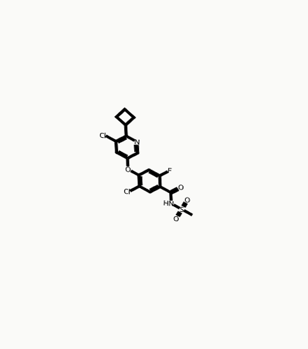 CS(=O)(=O)NC(=O)c1cc(Cl)c(Oc2cnc(C3CCC3)c(Cl)c2)cc1F